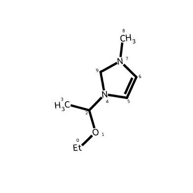 CCOC(C)N1C=CN(C)C1